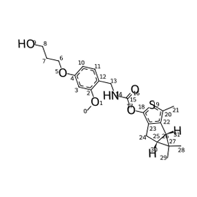 COc1cc(OCCCO)ccc1CNC(=O)Oc1sc(C)c2c1C[C@@H]1[C@H]2C1(C)C